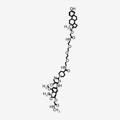 CNC(=O)COc1cc2cc(Nc3nc(N4CCC(C(=O)NCCOCCOCCOCCNC(=O)CO/N=C5\CCC6C7CCc8cc(O)ccc8C7CC[C@]56C)CC4)ncc3Cl)cc(OC)c2n(C)c1=O